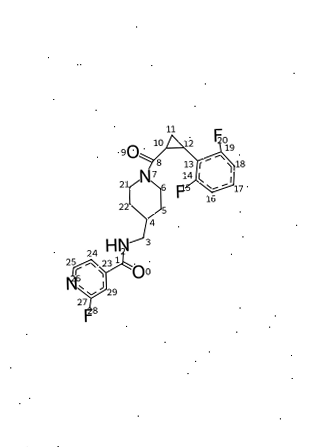 O=C(NCC1CCN(C(=O)C2CC2c2c(F)cccc2F)CC1)c1ccnc(F)c1